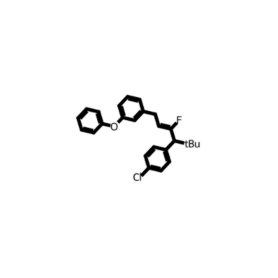 CC(C)(C)C(C(F)=CCc1cccc(Oc2ccccc2)c1)c1ccc(Cl)cc1